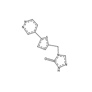 O=c1[nH]ncn1Cc1ccc(-c2ccnnc2)s1